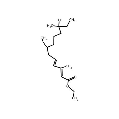 CCOC(=O)/C=C(C)/C=C/CC(CC)CCCC(C)(Cl)CC